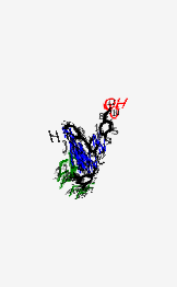 CCN(CC1CCC(CC(=O)O)CC1)c1ncc(-c2cccnc2)cc1CN(Cc1cc(C(F)(F)F)cc(C(F)(F)F)c1)c1nnn(C)n1